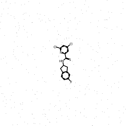 Fc1ccc2c(c1)CC(NC(=S)c1cc(Cl)cc(Cl)n1)C2